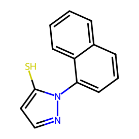 Sc1ccnn1-c1cccc2ccccc12